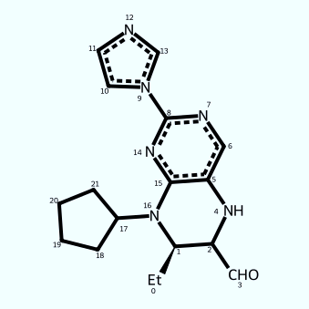 CC[C@@H]1C(C=O)Nc2cnc(-n3ccnc3)nc2N1C1CCCC1